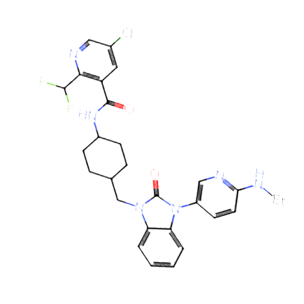 CCNc1ccc(-n2c(=O)n(CC3CCC(NC(=O)c4cc(Cl)cnc4C(F)F)CC3)c3ccccc32)cn1